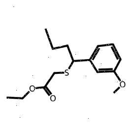 CCCC(SCC(=O)OCC)c1cccc(OC)c1